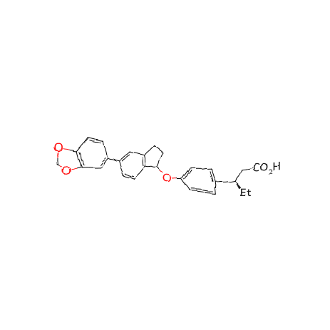 CC[C@H](CC(=O)O)c1ccc(OC2CCc3cc(-c4ccc5c(c4)OCO5)ccc32)cc1